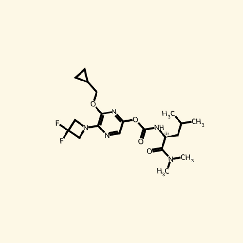 CC(C)C[C@H](NC(=O)Oc1cnc(N2CC(F)(F)C2)c(OCC2CC2)n1)C(=O)N(C)C